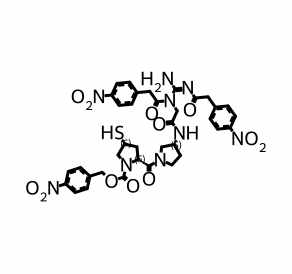 NC(=NC(=O)Cc1ccc([N+](=O)[O-])cc1)N(CC(=O)N[C@H]1CCN(C(=O)[C@@H]2C[C@H](S)CN2C(=O)OCc2ccc([N+](=O)[O-])cc2)C1)C(=O)Cc1ccc([N+](=O)[O-])cc1